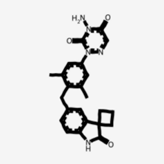 Cc1cc(-n2ncc(=O)n(N)c2=O)cc(C)c1Cc1ccc2c(c1)C1(CCC1)C(=O)N2